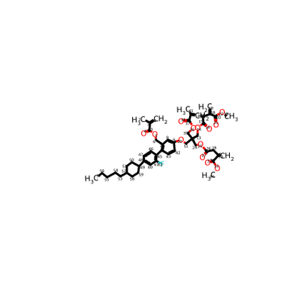 C=C(C)C(=O)OCc1cc(OCC(COC(=O)CC(=C)C(=O)OC)(COC(=O)CC(=C)C(=O)OC)COC(=O)C(=C)C)ccc1-c1ccc(C2CCC(CCCCC)CC2)cc1F